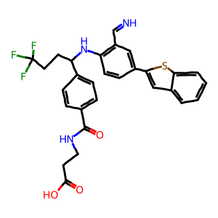 N=Cc1cc(-c2cc3ccccc3s2)ccc1NC(CCC(F)(F)F)c1ccc(C(=O)NCCC(=O)O)cc1